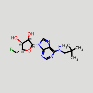 CC(C)(C)CNc1ncnc2c1ncn2[C@@H]1O[C@H](CF)[C@@H](O)[C@H]1O